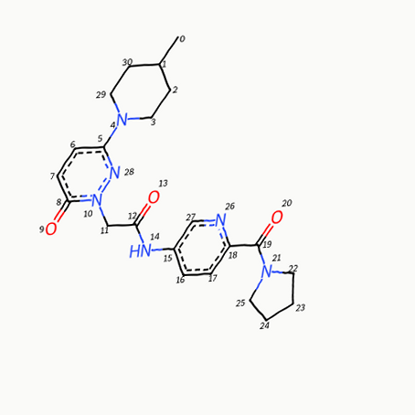 CC1CCN(c2ccc(=O)n(CC(=O)Nc3ccc(C(=O)N4CCCC4)nc3)n2)CC1